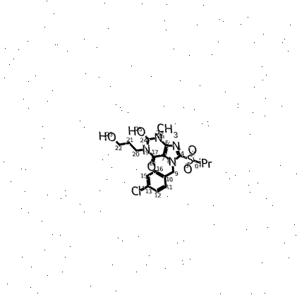 CC(C)S(=O)(=O)c1nc2c(n1Cc1ccc(Cl)cc1)C(=O)N(CCCO)C(O)N2C